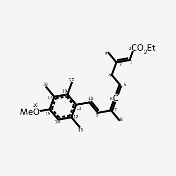 CCOC(=O)/C=C(\C)CC=C=C(C)/C=C/c1c(C)cc(OC)c(C)c1C